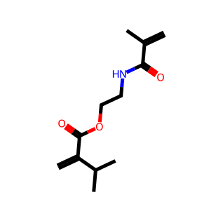 C=C(C)C(=O)NCCOC(=O)C(=C)C(C)C